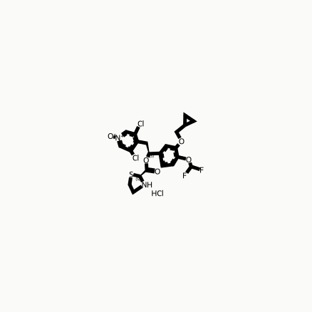 Cl.O=C(O[C@@H](Cc1c(Cl)c[n+]([O-])cc1Cl)c1ccc(OC(F)F)c(OCC2CC2)c1)[C@H]1NCCS1